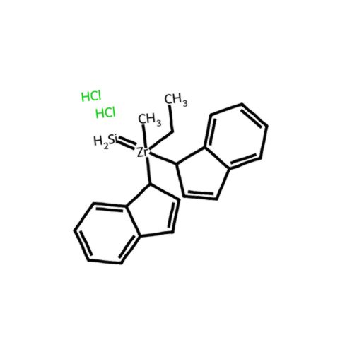 C[CH2][Zr]([CH3])(=[SiH2])([CH]1C=Cc2ccccc21)[CH]1C=Cc2ccccc21.Cl.Cl